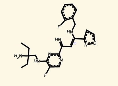 CCC(N)(CC)CNc1nc(C(=N)/C=C(\NCc2ccccc2F)c2ccon2)ncc1F